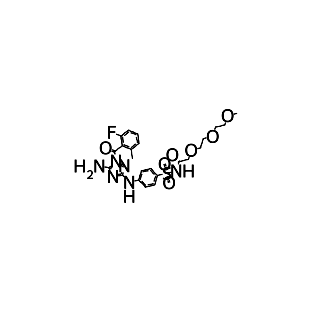 COCCOCCOCC(=O)NS(=O)(=O)c1ccc(Nc2nc(N)n(C(=O)c3c(C)cccc3F)n2)cc1